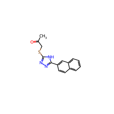 CC(=O)CSc1nnc(-c2ccc3ccccc3c2)[nH]1